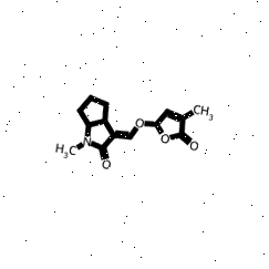 CC1=CC(O/C=C2/C(=O)N(C)C3CCCC23)OC1=O